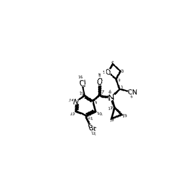 N#CC(C1CCO1)N(C(=O)c1cc(Br)cnc1Cl)C1CC1